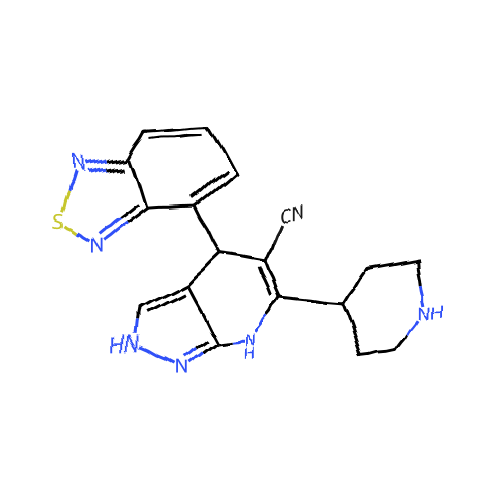 N#CC1=C(C2CCNCC2)Nc2n[nH]cc2C1c1cccc2nsnc12